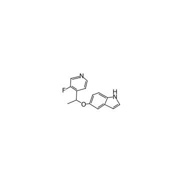 CC(Oc1ccc2[nH]ccc2c1)c1ccncc1F